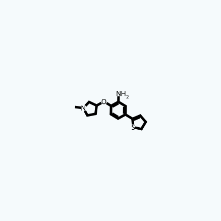 CN1CCC(Oc2ccc(C3=CCCS3)cc2N)C1